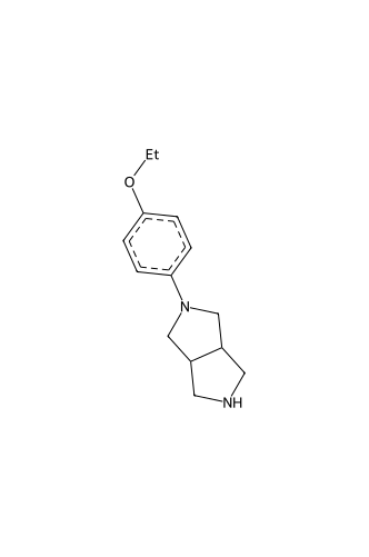 CCOc1ccc(N2CC3CNCC3C2)cc1